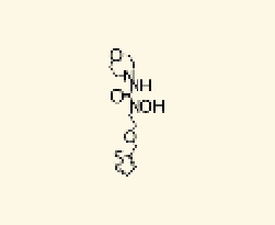 O=C(NN1CCOCC1)N(O)CCOCc1cccs1